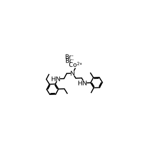 CCc1cccc(CC)c1NCCN(C)CCNc1c(C)cccc1C.[Br-].[Br-].[Co+2]